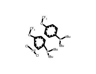 CC(C)(C)P(c1ccc(OC(F)(F)F)cc1)C(C)(C)C.CC(C)(C)P(c1ccc(OC(F)(F)F)cc1)C(C)(C)C.[Cl][Pd][Cl]